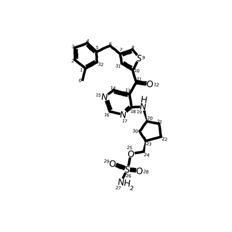 Cc1cccc(Cc2csc(C(=O)c3cncnc3N[C@H]3CC[C@@H](COS(N)(=O)=O)C3)c2)c1